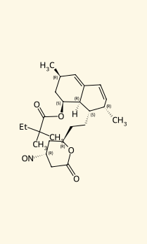 CCC(C)(C)C(=O)O[C@H]1C[C@@H](C)C=C2C=C[C@H](C)[C@H](CC[C@@H]3C[C@@H](N=O)CC(=O)O3)[C@H]21